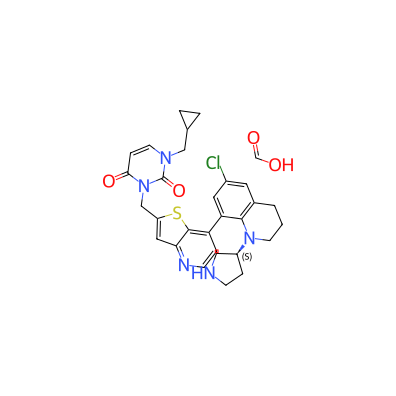 O=CO.O=c1ccn(CC2CC2)c(=O)n1Cc1cc2nccc(-c3cc(Cl)cc4c3N([C@H]3CCNC3)CCC4)c2s1